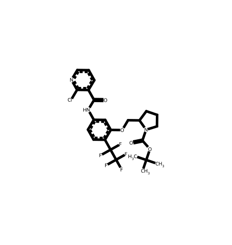 CC(C)(C)OC(=O)N1CCCC1COc1cc(NC(=O)c2cccnc2Cl)ccc1C(F)(F)C(F)(F)F